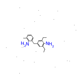 CCc1cc(Cc2cccc(C)c2N)cc(CC)c1N